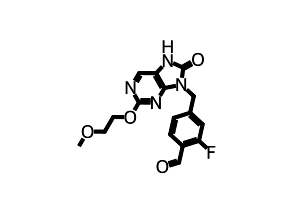 COCCOc1ncc2[nH]c(=O)n(Cc3ccc(C=O)c(F)c3)c2n1